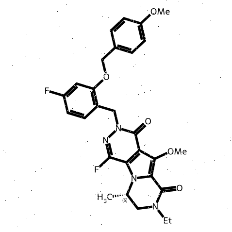 CCN1C[C@H](C)n2c(c(OC)c3c(=O)n(Cc4ccc(F)cc4OCc4ccc(OC)cc4)nc(F)c32)C1=O